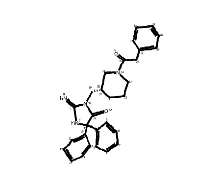 N=C1NC(c2ccccc2)(c2ccccc2)C(=O)N1C[C@H]1CCCN(C(=O)Cc2ccccc2)C1